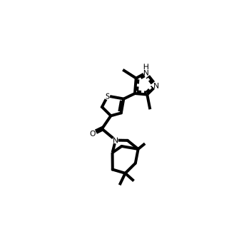 Cc1n[nH]c(C)c1C1=CC(C(=O)N2CC3(C)CC2CC(C)(C)C3)CS1